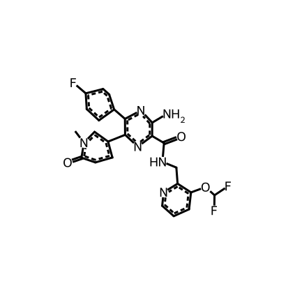 Cn1cc(-c2nc(C(=O)NCc3ncccc3OC(F)F)c(N)nc2-c2ccc(F)cc2)ccc1=O